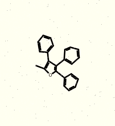 Cc1oc(-c2ccccc2)c(-c2ccccc2)c1-c1ccccc1